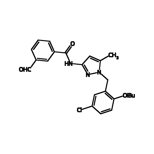 Cc1cc(NC(=O)c2cccc(C=O)c2)nn1Cc1cc(Cl)ccc1OCC(C)C